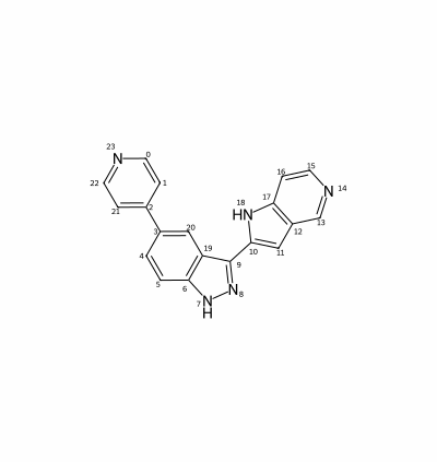 c1cc(-c2ccc3[nH]nc(-c4cc5cnccc5[nH]4)c3c2)ccn1